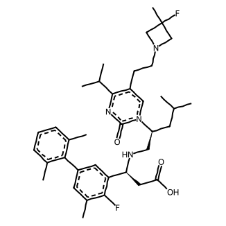 Cc1cc(-c2c(C)cccc2C)cc([C@H](CC(=O)O)NC[C@H](CC(C)C)n2cc(CCN3CC(C)(F)C3)c(C(C)C)nc2=O)c1F